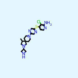 CC1CN(C2CNC2)CC12CCN(c1cnc(Sc3ccnc(N)c3Cl)cn1)CC2